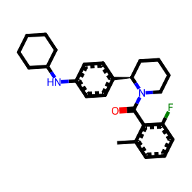 Cc1cccc(F)c1C(=O)N1CCCC[C@@H]1c1ccc(NC2CCCCC2)cc1